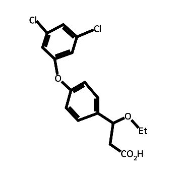 CCOC(CC(=O)O)c1ccc(Oc2cc(Cl)cc(Cl)c2)cc1